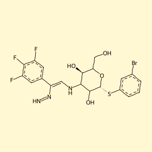 N=N/C(=C\NC1C(O)[C@@H](Sc2cccc(Br)c2)OC(CO)[C@@H]1O)c1cc(F)c(F)c(F)c1